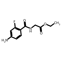 CCOC(=O)CNC(=O)c1ccc(N)cc1F